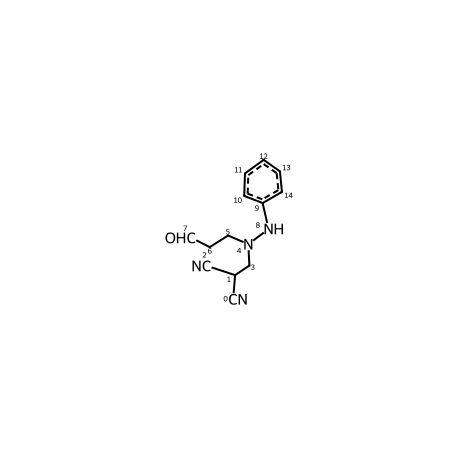 N#CC(C#N)CN(CCC=O)Nc1ccccc1